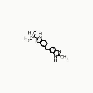 Cc1nc2ccc(CC3=Cc4nc(C(C)C)[nH]c4CC3)cc2[nH]1